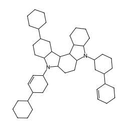 C1=CC(C2CCCC(N3C4CCCCC4C4C5C6CC(C7CCCCC7)CCC6N(C6C=CC(C7CCCCC7)CC6)C5CCC43)C2)CCC1